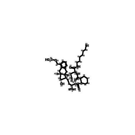 CCCCC[C@@H](CC[C@@H]1[C@H]2Cc3cccc(COC(=O)O)c3C[C@H]2C[C@H]1O)OC(=O)[C@@H]1CCCC[C@@H]1C(=O)NC(CN)C(=O)NCCCCCCS